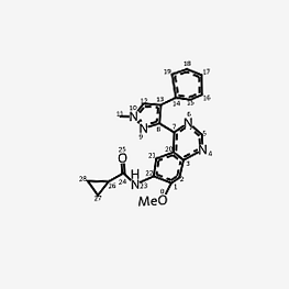 COc1cc2ncnc(-c3nn(C)cc3-c3ccccc3)c2cc1NC(=O)C1CC1